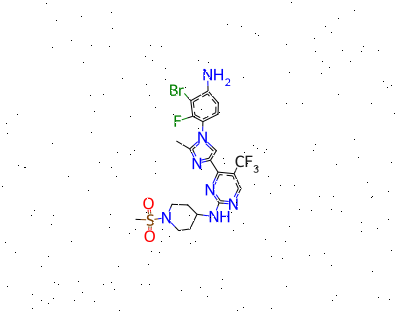 Cc1nc(-c2nc(NC3CCN(S(C)(=O)=O)CC3)ncc2C(F)(F)F)cn1-c1ccc(N)c(Br)c1F